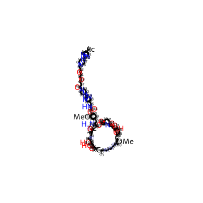 CO[C@H]1C[C@@H]2CC[C@@H](C)[C@@](O)(O2)C(=O)C(=O)N2CCCC[C@H]2C(=O)O[C@H]([C@H](N)C[C@@H]2CC[C@@H](OC(=O)NCc3cnc(N4CCN(C(=O)CCOCCOCCN5CCN(c6ncc(C(C)=O)cn6)CC5)CC4)nc3)[C@H](OC)C2)CC(=O)[C@H](C)/C=C(\C)[C@@H](O)[C@@H](O)C(=O)[C@H](C)C[C@H](C)/C=C/C=C/C=C/1C